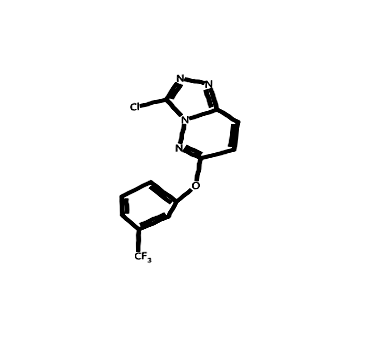 FC(F)(F)c1cccc(Oc2ccc3nnc(Cl)n3n2)c1